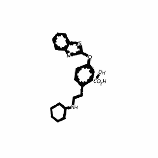 O=C(O)O.c1ccc2sc(Oc3ccc(CCNC4CCCCC4)cc3)nc2c1